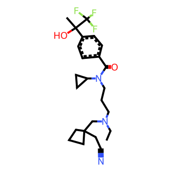 CCN(CCCN(C(=O)c1ccc(C(C)(O)C(F)(F)F)cc1)C1CC1)CC1(CC#N)CCC1